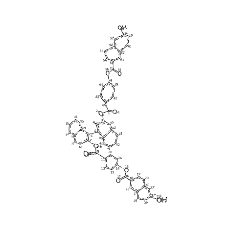 O=C(Oc1cc(-c2c(OC(=O)c3ccc(OC(=O)c4ccc5cc(O)ccc5c4)cc3)ccc3ccccc23)c2ccccc2c1)c1ccc(OC(=O)c2ccc3cc(O)ccc3c2)cc1